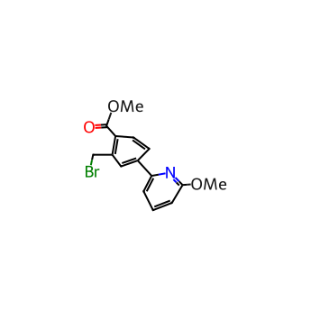 COC(=O)c1ccc(-c2cccc(OC)n2)cc1CBr